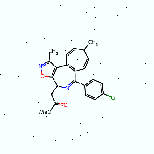 COC(=O)C[C@@H]1N=C(c2ccc(Cl)cc2)C2=C(C=CC(C)C=C2)c2c(C)noc21